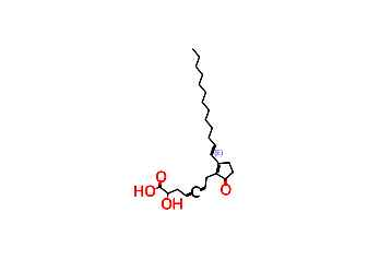 CCCCCCCCCCC/C=C/C1=C(CC=C=CCC(O)C(=O)O)C(=O)CC1